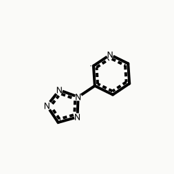 [c]1ncccc1-n1ncnn1